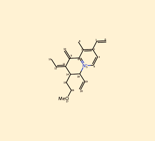 C=Cc1cc[n+]2c(c1C)C(=C)/C(=C\C)C(CCOC)C2C=C